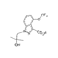 CC(C)(O)Cn1nc(C(=O)O)c2c(OC(F)(F)F)cccc21